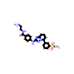 CS(=O)(=O)c1cccc(-c2cccc3nc(Nc4ccc(C(=O)NCCN)cc4)nn23)c1